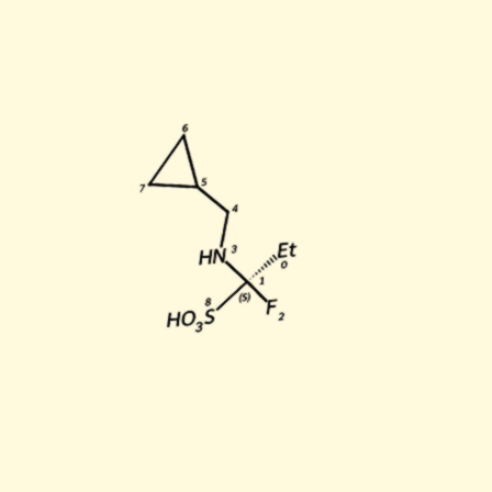 CC[C@@](F)(NCC1CC1)S(=O)(=O)O